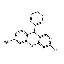 Nc1ccc2c(c1)Oc1cc(N)ccc1C2C1=CCCC=C1